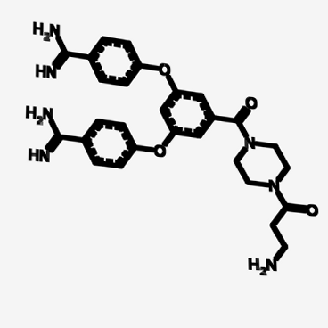 N=C(N)c1ccc(Oc2cc(Oc3ccc(C(=N)N)cc3)cc(C(=O)N3CCN(C(=O)CCN)CC3)c2)cc1